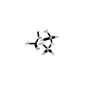 CNC(=N)S.O=S(=O)(O)OS(=O)(=O)O